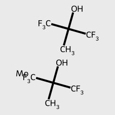 CC(O)(C(F)(F)F)C(F)(F)F.CC(O)(C(F)(F)F)C(F)(F)F.[Mo]